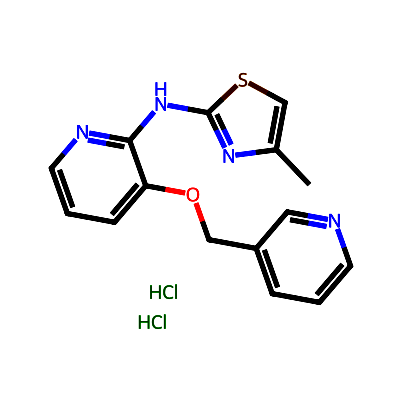 Cc1csc(Nc2ncccc2OCc2cccnc2)n1.Cl.Cl